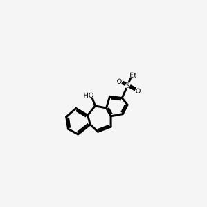 CCS(=O)(=O)c1ccc2c(c1)C(O)c1ccccc1C=C2